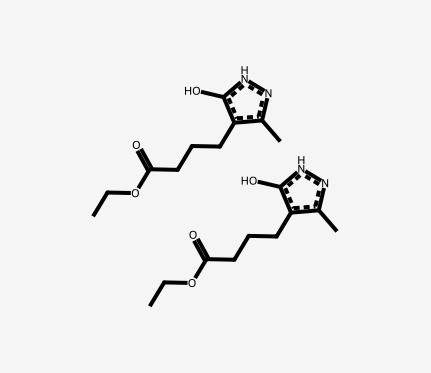 CCOC(=O)CCCc1c(C)n[nH]c1O.CCOC(=O)CCCc1c(C)n[nH]c1O